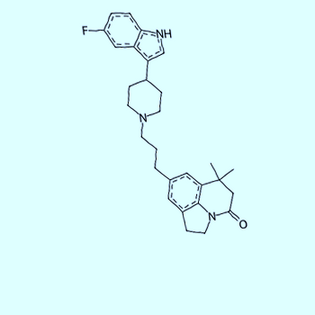 CC1(C)CC(=O)N2CCc3cc(CCCN4CCC(c5c[nH]c6ccc(F)cc56)CC4)cc1c32